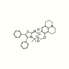 CC1(C)[C@H]2COc3c(cc4c5c3CCCN5CCC4)[C@@H]2N=C2SC(c3ccccc3)=C(c3ccccc3)N21